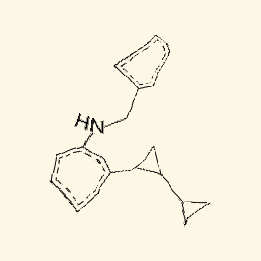 c1ccc(CNc2ccccc2C2CC2C2CC2)cc1